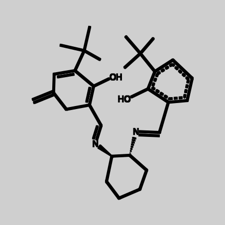 C=C1C=C(C(C)(C)C)C(O)=C(C=N[C@@H]2CCCC[C@H]2N=Cc2cccc(C(C)(C)C)c2O)C1